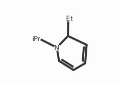 CCC1C=CC=CN1C(C)C